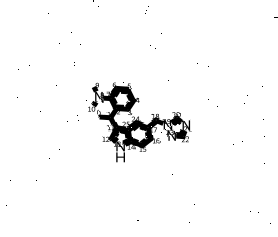 CC(c1ccccc1N(C)C)c1c[nH]c2ccc(Cn3cncn3)cc12